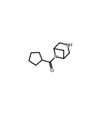 O=C(C1CCCC1)N1C2CNCC1C2